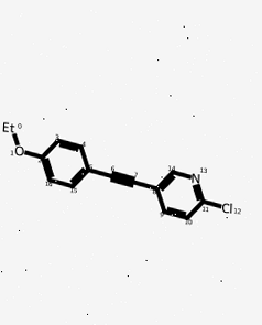 CCOc1ccc(C#Cc2ccc(Cl)nc2)cc1